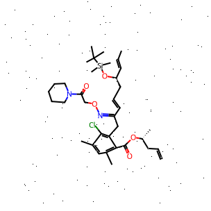 C=CC[C@@H](C)OC(=O)c1c(C)cc(C)c(Cl)c1CC(/C=C/C[C@H](/C=C/C)O[Si](C)(C)C(C)(C)C)=NOCC(=O)N1CCCCC1